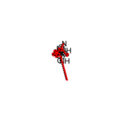 CCCCCCCCCCCCCCCCCCNC(=O)CCC(=O)OC[C@@H]1CN(C(c2ccccc2)(c2ccccc2)c2ccccc2)C[C@H](n2cnc3c(OCCC#N)nc(NC(=O)COc4ccccc4)nc32)O1